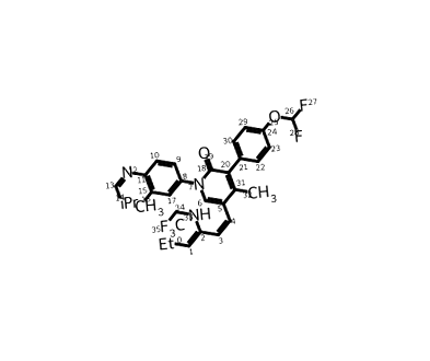 CC/C=C(/C=C\c1cn(-c2ccc(/N=C\C(C)C)c(C)c2)c(=O)c(-c2ccc(OC(F)F)cc2)c1C)NCC(F)(F)F